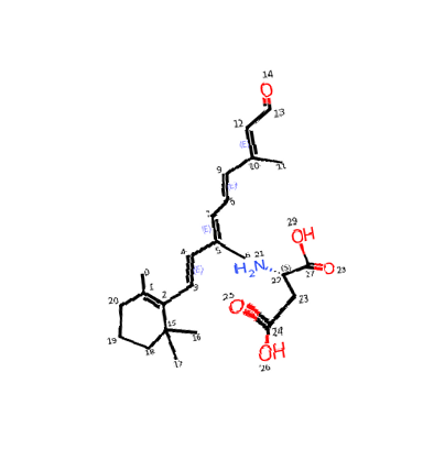 CC1=C(/C=C/C(C)=C/C=C/C(C)=C/C=O)C(C)(C)CCC1.N[C@@H](CC(=O)O)C(=O)O